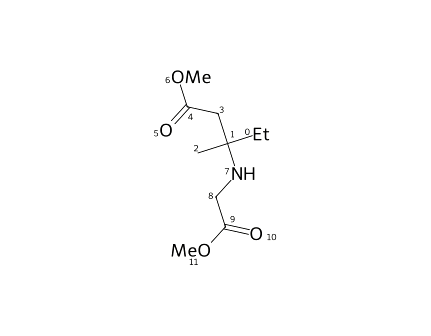 CCC(C)(CC(=O)OC)NCC(=O)OC